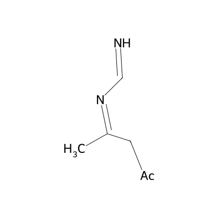 CC(=O)C/C(C)=N\C=N